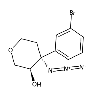 [N-]=[N+]=N[C@@]1(c2cccc(Br)c2)CCOC[C@@H]1O